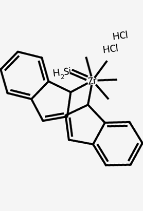 Cl.Cl.[CH3][Zr]([CH3])([CH3])([CH3])(=[SiH2])([CH]1C=Cc2ccccc21)[CH]1C=Cc2ccccc21